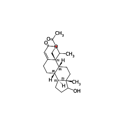 CC(=O)OC[C@@]12C(=CC(=O)CC1C)CC[C@@H]1[C@H]2CC[C@]2(C)C(O)CC[C@@H]12